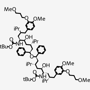 COCCCOc1cc(C[C@@H](C[C@H](NC(=O)OC(C)(C)C)[C@@H](O)C[C@@H](C[C@@H](O[C@H](C[C@H](C[C@H](O)[C@H](C[C@H](Cc2ccc(OC)c(OCCCOC)c2)C(C)C)NC(=O)OC(C)(C)C)C(C)C)c2ccccc2)c2ccccc2)C(C)C)C(C)C)ccc1OC